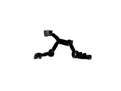 CC/C(=N/OC)OC(C)C